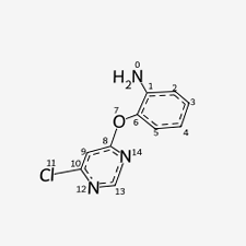 Nc1ccccc1Oc1cc(Cl)ncn1